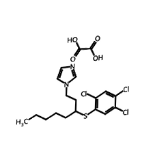 CCCCCC(CCn1ccnc1)Sc1cc(Cl)c(Cl)cc1Cl.O=C(O)C(=O)O